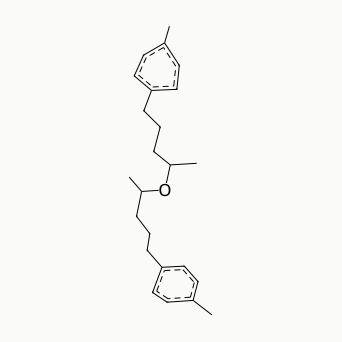 Cc1ccc(CCCC(C)OC(C)CCCc2ccc(C)cc2)cc1